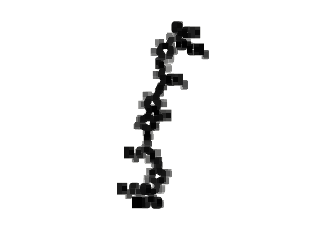 CCOC(Cc1ccc(SCC=C(C)C#Cc2ccc3c(c2)[nH]c2cc(C#CC(C)=CCSc4ccc(CC(OCC)C(=O)O)cc4)ccc23)cc1)C(=O)O